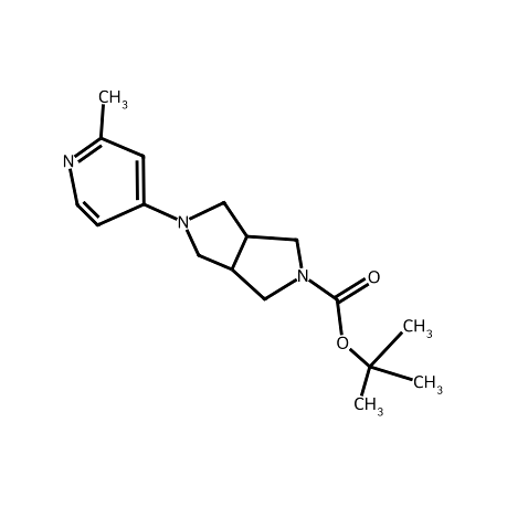 Cc1cc(N2CC3CN(C(=O)OC(C)(C)C)CC3C2)ccn1